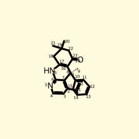 C=Cc1ccnc2c1[C@](C)(c1ccccc1)C1=C(CC(C)(C)CC1=O)N2